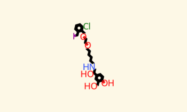 OCc1cc([C@@H](O)CNCCCCCCOCCOCc2c(Cl)cccc2CI)ccc1O